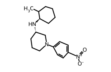 CC1CCCC[C@H]1N[C@H]1CCCN(c2ccc([N+](=O)[O-])cc2)C1